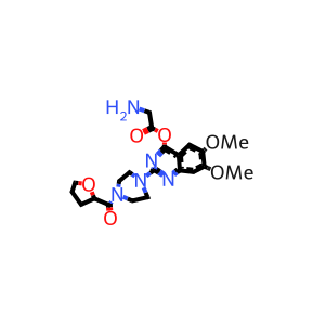 COc1cc2nc(N3CCN(C(=O)C4CCCO4)CC3)nc(OC(=O)CN)c2cc1OC